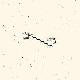 CCCCC/C=C\C/C=C\CCCCCCCC(=O)OB(CCCC)CCCC